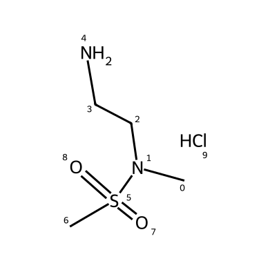 CN(CCN)S(C)(=O)=O.Cl